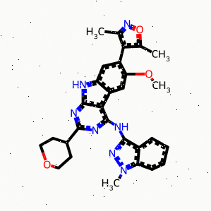 COc1cc2c(cc1-c1c(C)noc1C)[nH]c1nc(C3CCOCC3)nc(Nc3nn(C)c4ccccc34)c12